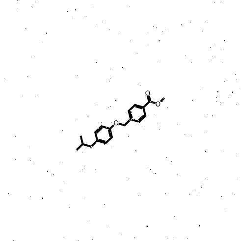 COC(=O)c1ccc(COc2ccc(CC(C)C)cc2)cc1